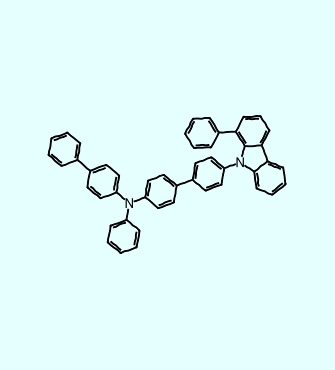 c1ccc(-c2ccc(N(c3ccccc3)c3ccc(-c4ccc(-n5c6ccccc6c6cccc(-c7ccccc7)c65)cc4)cc3)cc2)cc1